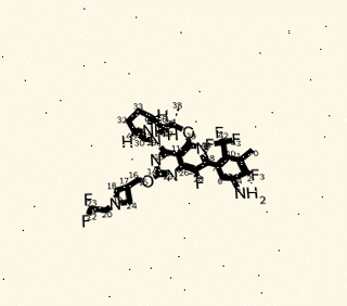 Cc1c(F)c(N)cc(-c2nc3c4c(nc(OCC5CN(CC(F)F)C5)nc4c2F)N2C[C@H]4CC[C@H](N4)[C@H]2[C@H](C)O3)c1C(F)(F)F